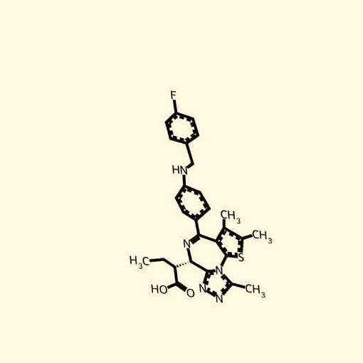 CCC(C(=O)O)[C@@H]1N=C(c2ccc(NCc3ccc(F)cc3)cc2)c2c(sc(C)c2C)-n2c(C)nnc21